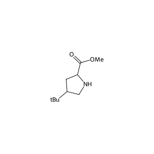 COC(=O)C1CC(C(C)(C)C)CN1